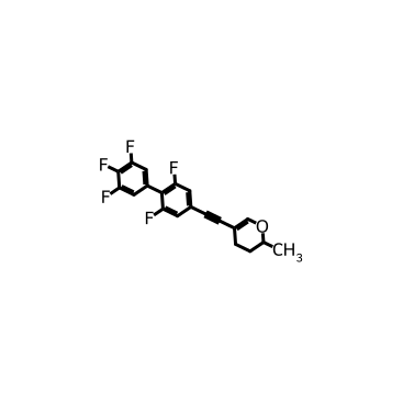 CC1CCC(C#Cc2cc(F)c(-c3cc(F)c(F)c(F)c3)c(F)c2)=CO1